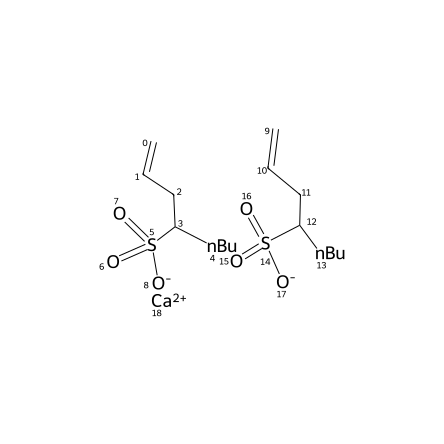 C=CCC(CCCC)S(=O)(=O)[O-].C=CCC(CCCC)S(=O)(=O)[O-].[Ca+2]